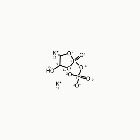 O=P([O-])([O-])OP1(=O)OCC(O)O1.[K+].[K+]